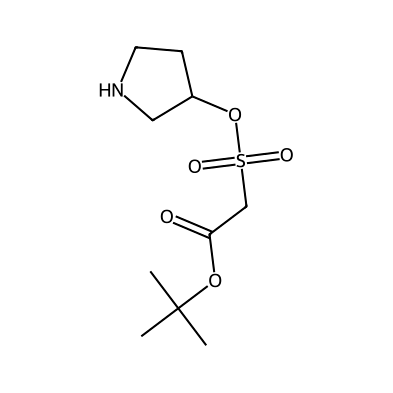 CC(C)(C)OC(=O)CS(=O)(=O)OC1CCNC1